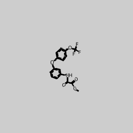 COC(=O)C(=O)Nc1cccc(Oc2ccc(OC(F)(F)F)cc2)c1